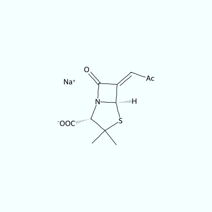 CC(=O)/C=C1/C(=O)N2[C@@H]1SC(C)(C)[C@@H]2C(=O)[O-].[Na+]